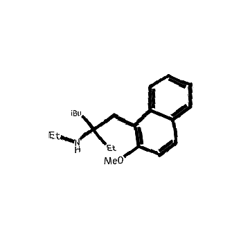 CCNC(CC)(Cc1c(OC)ccc2ccccc12)C(C)CC